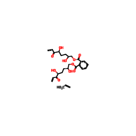 C=CC(=O)C(O)CCC(O)COC(=O)c1ccccc1C(=O)OCC(O)CCC(O)C(=O)C=C.C=CC(=O)O